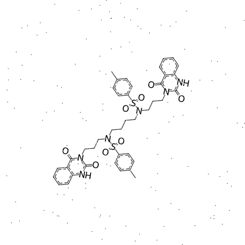 Cc1ccc(S(=O)(=O)N(CCCCN(CCCn2c(=O)[nH]c3ccccc3c2=O)S(=O)(=O)c2ccc(C)cc2)CCCn2c(=O)[nH]c3ccccc3c2=O)cc1